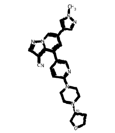 Cn1cc(-c2cc(-c3ccc(N4CCN([C@H]5CCOC5)CC4)nc3)c3c(C#N)cnn3c2)cn1